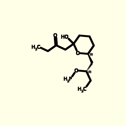 CCC(=O)CC1(O)CCC[C@@H](C[C@H](CC)OP)O1